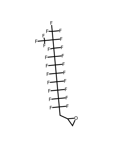 FC(F)(F)C(F)(C(F)(F)F)C(F)(F)C(F)(F)C(F)(F)C(F)(F)C(F)(F)C(F)(F)C(F)(F)C(F)(F)CC1CO1